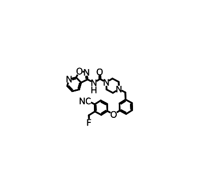 N#Cc1ccc(Oc2cccc(CN3CCN(C(=O)Nc4noc5ncccc45)CC3)c2)cc1CF